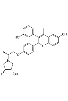 CC1=C(c2cccc(O)c2)C(c2ccc(OC[C@H](C)N3C[C@H](O)[C@@H](F)C3)cc2)Oc2ccc(O)cc21